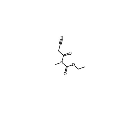 CCOC(=O)N(C)C(=O)CC#N